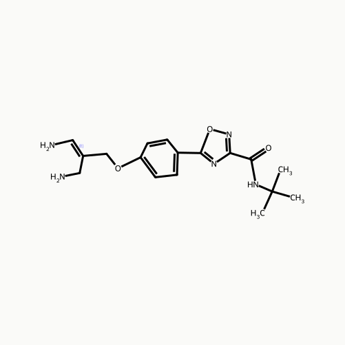 CC(C)(C)NC(=O)c1noc(-c2ccc(OC/C(=C/N)CN)cc2)n1